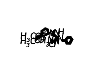 CC(C)(C)OC(=O)N1CCC[C@@H](n2cnc3c(NCc4ccccc4)nc(Cl)nc32)C1